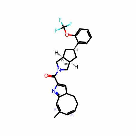 CC1=C/C2=NC(C(=O)N3C[C@H]4C[C@@H](c5ccccc5OC(F)(F)F)C[C@H]4C3)=CC2CC/C=C\1